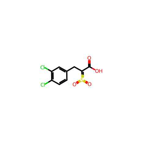 O=C(O)C(Cc1ccc(Cl)c(Cl)c1)=S(=O)=O